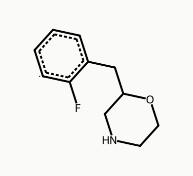 Fc1[c]cccc1CC1CNCCO1